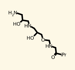 CC(C)C(=O)CNCOCC(O)CNCC(O)CN